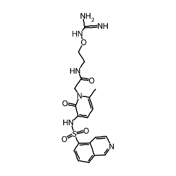 Cc1ccc(NS(=O)(=O)c2cccc3cnccc23)c(=O)n1CC(=O)NCCONC(=N)N